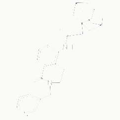 O=C(CC12CC3CC(CC(C3)C1)C2)Nc1cccc2c1CCN(Cc1cccnc1)C2=O